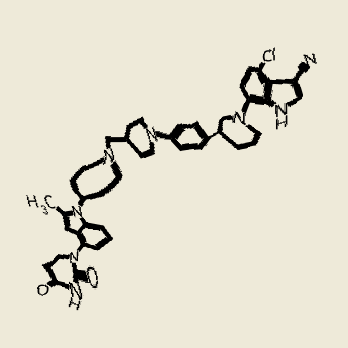 Cc1cc2c(N3CCC(=O)NC3=O)cccc2n1C1CCN(CC2CCN(c3ccc([C@@H]4CCCN(c5ccc(Cl)c6c(C#N)c[nH]c56)C4)cc3)CC2)CC1